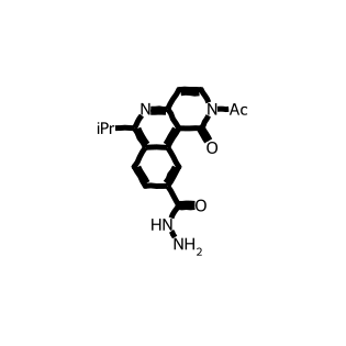 CC(=O)n1ccc2nc(C(C)C)c3ccc(C(=O)NN)cc3c2c1=O